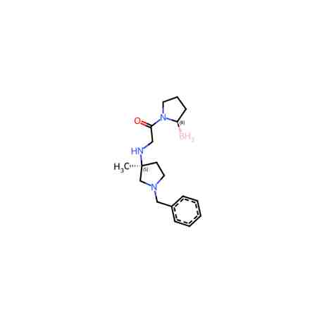 B[C@@H]1CCCN1C(=O)CN[C@@]1(C)CCN(Cc2ccccc2)C1